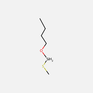 CCCCO[SiH2]SC